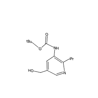 CC(C)c1ncc(CO)cc1NC(=O)OC(C)(C)C